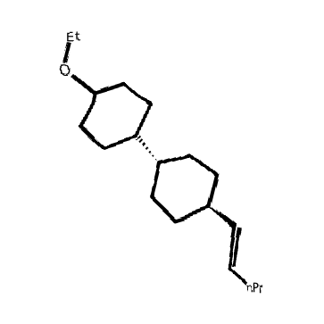 CCC/C=C/[C@H]1CC[C@H](C2CCC(OCC)CC2)CC1